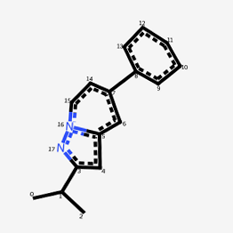 CC(C)c1cc2cc(-c3ccccc3)ccn2n1